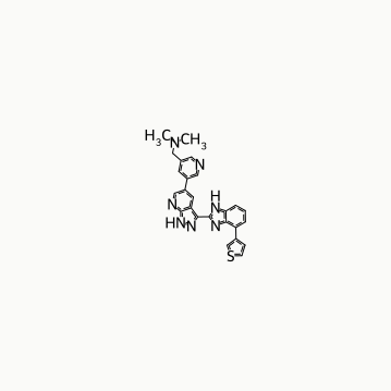 CN(C)Cc1cncc(-c2cnc3[nH]nc(-c4nc5c(-c6ccsc6)cccc5[nH]4)c3c2)c1